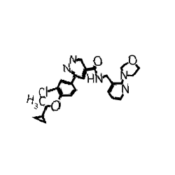 CC(Oc1ccc(-c2cc(C(=O)NCc3cccnc3N3CCOCC3)cnn2)cc1Cl)C1CC1